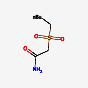 CCCCCS(=O)(=O)CC(N)=O